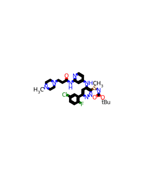 CN1CCN(CCC(=O)Nc2cc(Nc3cc(-c4cc(Cl)ccc4F)nnc3/S(C)=N\C(=O)OC(C)(C)C)ccn2)CC1